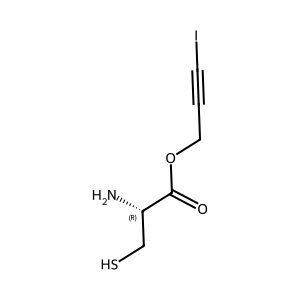 N[C@@H](CS)C(=O)OCC#CI